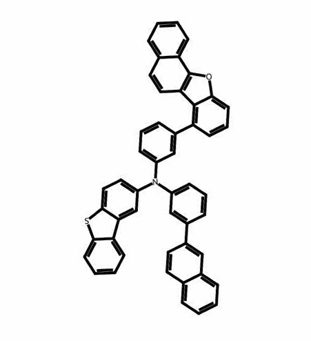 c1cc(-c2ccc3ccccc3c2)cc(N(c2cccc(-c3cccc4oc5c6ccccc6ccc5c34)c2)c2ccc3sc4ccccc4c3c2)c1